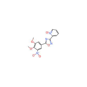 COc1cc(-c2nc(-c3cccc[n+]3[O-])no2)cc([N+](=O)[O-])c1OC